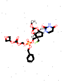 COC1O[C@@H]2[C@@](CF)(COP(=O)(OCOC(=O)OC3COC3)OCc3ccccc3)C[C@@H](n3ccc(=O)[nH]c3=O)[C@]2(C)O1